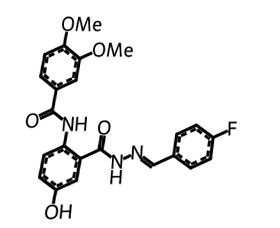 COc1ccc(C(=O)Nc2ccc(O)cc2C(=O)NN=Cc2ccc(F)cc2)cc1OC